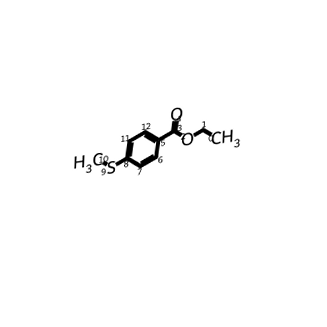 CCOC(=O)c1ccc(SC)cc1